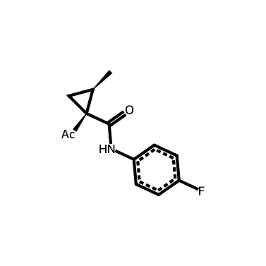 CC(=O)[C@@]1(C(=O)Nc2ccc(F)cc2)C[C@H]1C